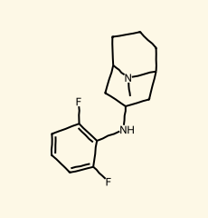 CN1C2CCCC1CC(Nc1c(F)cccc1F)C2